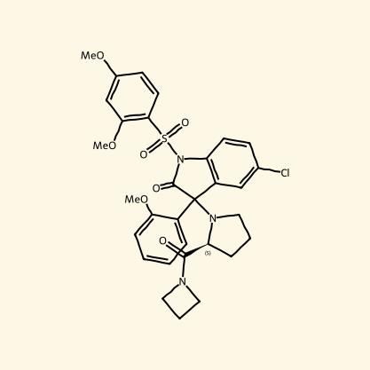 COc1ccc(S(=O)(=O)N2C(=O)C(c3ccccc3OC)(N3CCC[C@H]3C(=O)N3CCC3)c3cc(Cl)ccc32)c(OC)c1